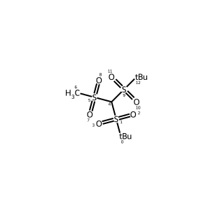 CC(C)(C)S(=O)(=O)C(S(C)(=O)=O)S(=O)(=O)C(C)(C)C